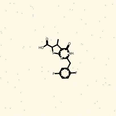 CC1c2c(nc(Cc3cc(F)ccc3F)[nH]c2=O)SC1C(=O)O